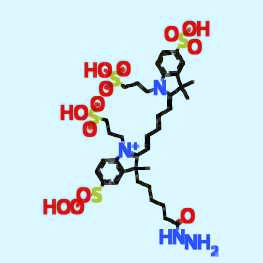 CC1(CCCCCC(=O)NN)C(/C=C/C=C/C=C2\N(CCCS(=O)(=O)O)c3ccc(S(=O)(=O)O)cc3C2(C)C)=[N+](CCCS(=O)(=O)O)c2ccc(SOOO)cc21